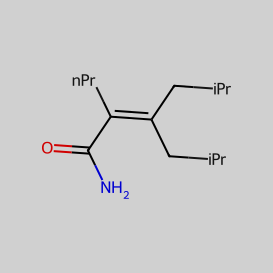 CCCC(C(N)=O)=C(CC(C)C)CC(C)C